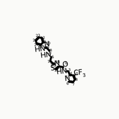 O=C(NCc1ncccc1C(F)(F)F)c1csc(CCNCc2nc3ccccc3[nH]2)n1